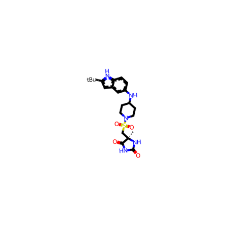 CC(C)(C)c1cc2cc(NC3CCN(S(=O)(=O)C[C@@]4(C)NC(=O)NC4=O)CC3)ccc2[nH]1